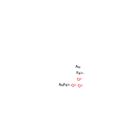 [Au].[Au].[Fe+3].[Fe+3].[O-2].[O-2].[O-2]